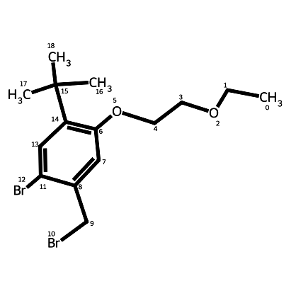 CCOCCOc1cc(CBr)c(Br)cc1C(C)(C)C